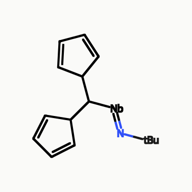 CC(C)(C)[N]=[Nb][CH](C1C=CC=C1)C1C=CC=C1